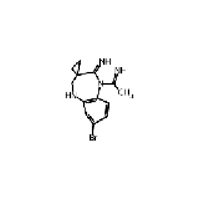 CC(=N)N1C(=N)C2(CC2)CNc2cc(Br)ccc21